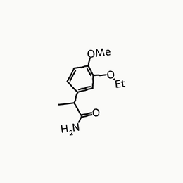 CCOc1cc(C(C)C(N)=O)ccc1OC